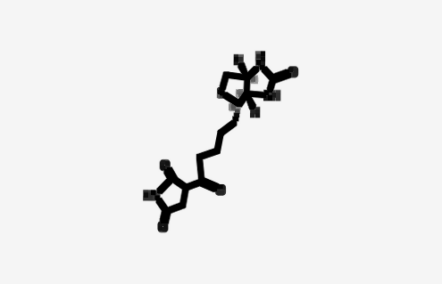 O=C1CC(C(=O)CCCC[C@@H]2SC[C@@H]3NC(=O)N[C@@H]32)C(=O)N1